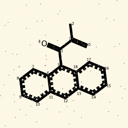 C=C(C)C(=O)c1c2ccccc2cc2ccccc12